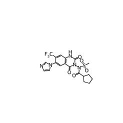 CS(=O)(=O)N(C(=O)C1CCCC1)n1c(=O)[nH]c2cc(C(F)(F)F)c(-n3ccnc3)cc2c1=O